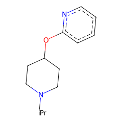 CC(C)N1CCC(Oc2ccccn2)CC1